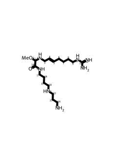 COC(NCC=CCCCCNC(=N)N)C(=O)NCCCCNCCCN